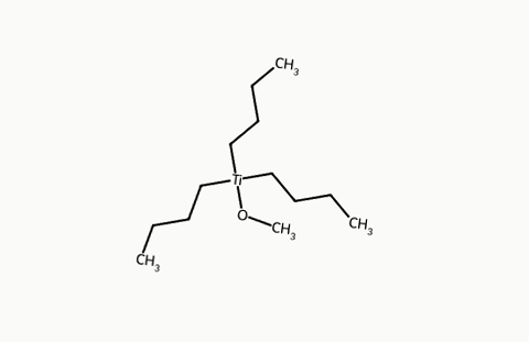 CCC[CH2][Ti]([CH2]CCC)([CH2]CCC)[O]C